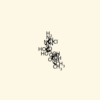 CC(C)CNC(=O)[C@H](OC[C@H]1O[C@@H](n2cnc3c(N)nc(Cl)nc32)[C@H](O)[C@H]1O)P(=O)(O)O